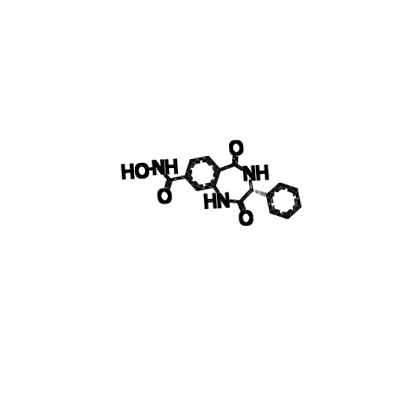 O=C(NO)c1ccc2c(c1)NC(=O)[C@@H](c1ccccc1)NC2=O